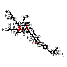 CC(=O)N[C@@H](CCC(=O)NCC[C@@H](O)C[C@H](O)CO)C(=O)N[C@@H](CCC(=O)O)C(=O)N[C@@H](CCC(=O)NCC[C@@H](O)C[C@H](O)CO)C(=O)N[C@@H](CCC(=O)O)C(=O)N[C@@H](CCC(=O)NCC[C@@H](O)C[C@H](O)CO)C(=O)N[C@H](C)CSSCCOC(=O)CC[C@H](NC(=O)c1ccc(NCc2cnc3nc(N)[nH]c(=N)c3n2)cc1)C(=O)O